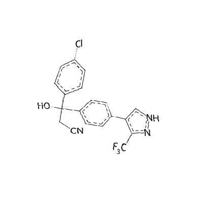 N#CCC(O)(c1ccc(Cl)cc1)c1ccc(-c2c[nH]nc2C(F)(F)F)cc1